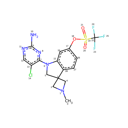 CN1CC2(C1)CN(c1nc(N)ncc1Cl)c1cc(OS(=O)(=O)C(F)(F)F)ccc12